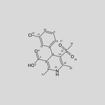 CC1=C(C(=O)O)C(c2cccc(Cl)c2)C(S(C)(=O)=O)=C(C)N1